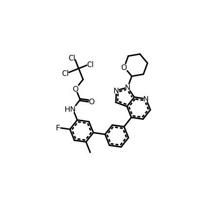 Cc1cc(F)c(NC(=O)OCC(Cl)(Cl)Cl)cc1-c1cccc(-c2ccnc3c2cnn3C2CCCCO2)c1